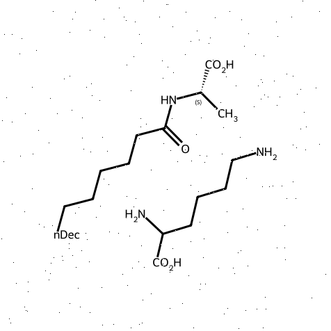 CCCCCCCCCCCCCCCC(=O)N[C@@H](C)C(=O)O.NCCCCC(N)C(=O)O